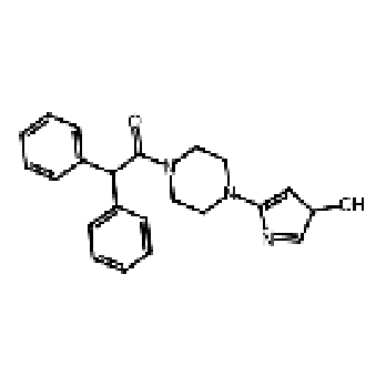 O=C(C(c1ccccc1)c1ccccc1)N1CCN(C2=CC(O)C=N2)CC1